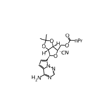 CCCC(=O)OC[C@@]1(C#N)O[C@@H](c2ccc3c(N)ncnn23)[C@@H]2OC(C)(C)O[C@@H]21